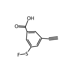 C#Cc1cc(SF)cc(C(=O)O)c1